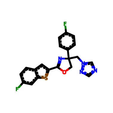 Fc1ccc(C2(Cn3cncn3)COC(c3cc4ccc(F)cc4s3)=N2)cc1